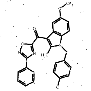 COc1ccc2c(c1)c(C(=O)c1nc(-c3ccccn3)no1)c(C)n2Cc1ccc(Cl)cc1